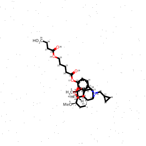 CO[C@]12CC[C@@]3(C[C@@H]1C(C)(O)C(C)(C)C)C1Cc4ccc(OC(=O)CCCCOC(=O)CCC(=O)O)c5c4[C@@]3(CCN1CC1CC1)[C@H]2O5